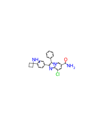 NC(=O)c1cc(Cl)c2nc(-c3ccc(C4(N)CCC4)cc3)c(-c3ccccc3)n2c1